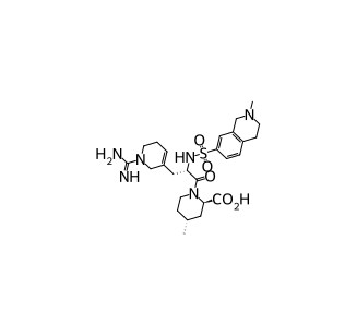 C[C@@H]1CCN(C(=O)[C@H](CC2=CCCN(C(=N)N)C2)NS(=O)(=O)c2ccc3c(c2)CN(C)CC3)[C@@H](C(=O)O)C1